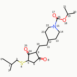 CC(C)CSC1CC(=O)C(CCC2CCN(C(=O)OC(C)C)CC2)C1=O